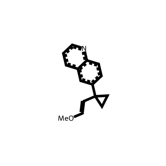 COC=CC1(c2ccc3ncccc3c2)CC1